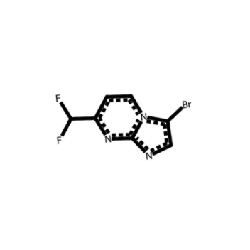 FC(F)c1ccn2c(Br)cnc2n1